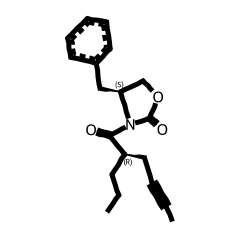 CC#CC[C@@H](CCC)C(=O)N1C(=O)OC[C@@H]1Cc1ccccc1